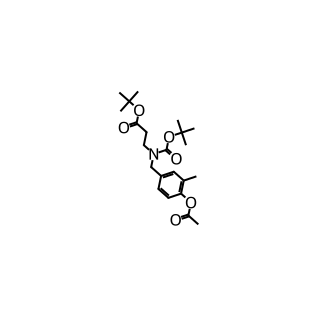 CC(=O)Oc1ccc(CN(CCC(=O)OC(C)(C)C)C(=O)OC(C)(C)C)cc1C